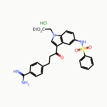 CCOC(=O)Cn1cc(C(=O)CCc2ccc(C(=N)N)cc2)c2cc(NS(=O)(=O)c3ccccc3)ccc21.Cl